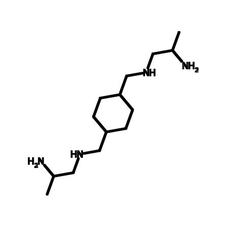 CC(N)CNCC1CCC(CNCC(C)N)CC1